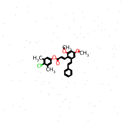 COc1cc(/C=C/c2ccccc2)c(/C=C/C(=O)Oc2cc(C)c(Cl)c(C)c2)c(OC)c1